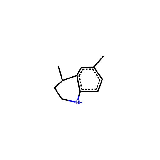 [CH2]c1ccc2c(c1)C(C)CCN2